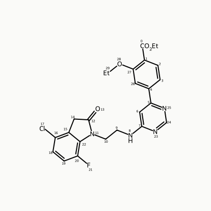 CCOC(=O)c1ccc(-c2cc(NCCN3C(=O)Cc4c(Cl)ccc(F)c43)ncn2)cc1OCC